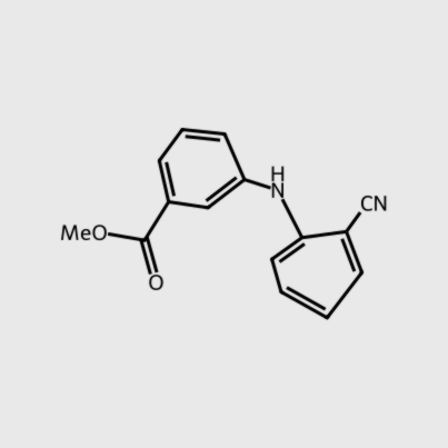 COC(=O)c1cccc(Nc2ccccc2C#N)c1